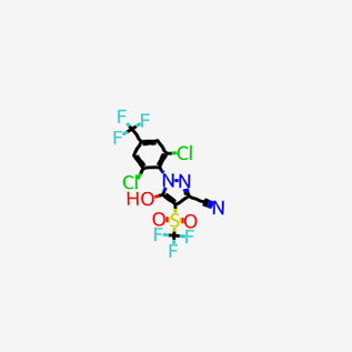 N#Cc1nn(-c2c(Cl)cc(C(F)(F)F)cc2Cl)c(O)c1S(=O)(=O)C(F)(F)F